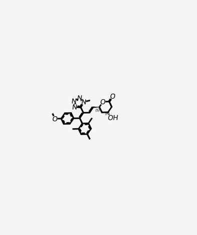 COc1ccc(C(=C(C=C[C@@H]2C[C@@H](O)CC(=O)O2)c2nnnn2C)c2c(C)cc(C)cc2C)cc1